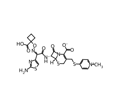 C[n+]1ccc(SCC2=C(C(=O)[O-])N3C(=O)[C@@H](NC(=O)/C(=N\OC4(C(=O)O)CCC4)c4csc(N)n4)[C@H]3SC2)cc1